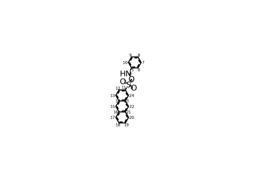 O=S(=O)(ONc1ccccc1)c1ccc2cc3ccccc3cc2c1